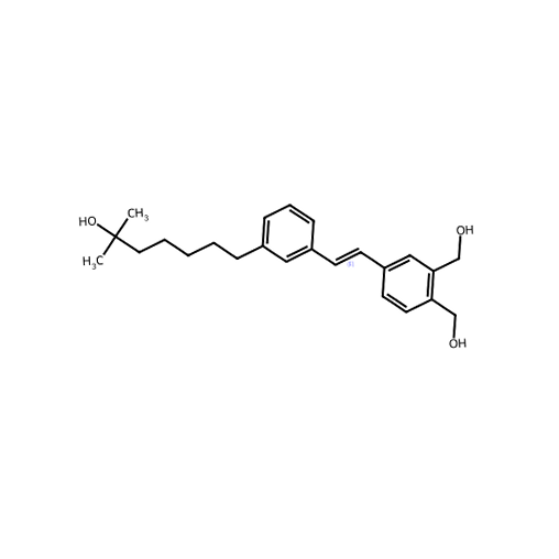 CC(C)(O)CCCCCc1cccc(/C=C/c2ccc(CO)c(CO)c2)c1